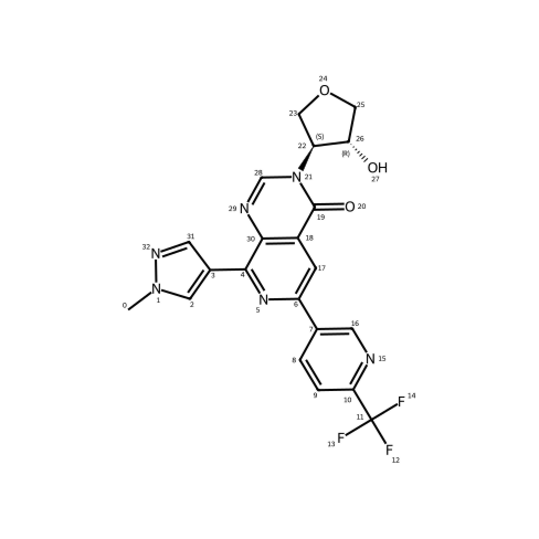 Cn1cc(-c2nc(-c3ccc(C(F)(F)F)nc3)cc3c(=O)n([C@H]4COC[C@@H]4O)cnc23)cn1